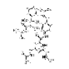 CNC(C(=O)NC(C)C(C)(C)C)C(C)(C)c1cccc(NC(=O)OCc2ccc(NC(=O)C(CCCNC(N)=O)NC(=O)CNC=O)cc2)c1